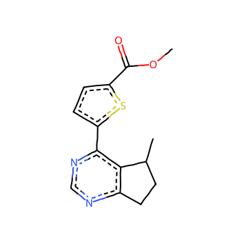 COC(=O)c1ccc(-c2ncnc3c2C(C)CC3)s1